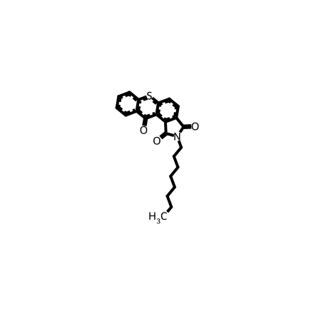 CCCCCCCCN1C(=O)c2ccc3sc4ccccc4c(=O)c3c2C1=O